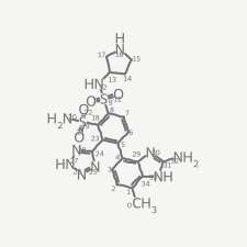 Cc1ccc(-c2ccc(S(=O)(=O)NC3CCNC3)c(S(N)(=O)=O)c2-c2nn[nH]n2)c2nc(N)[nH]c12